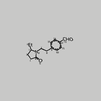 CCC1CCC(=O)N1CCc1ccc(C=O)cc1